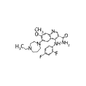 CCN1CCCN(c2cc3c(Nc4ccc(F)cc4F)c(C(N)=O)cnc3cc2OC)CC1